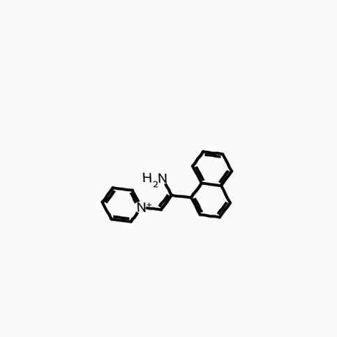 NC(=C[n+]1ccccc1)c1cccc2ccccc12